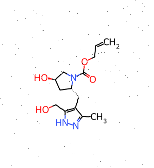 C=CCOC(=O)N1C[C@H](O)C[C@H]1Cc1c(C)n[nH]c1CO